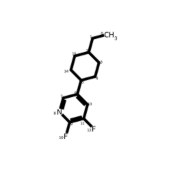 CCC1CCC(c2cnc(F)c(F)c2)CC1